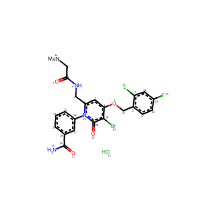 CNCC(=O)NCc1cc(OCc2ccc(F)cc2F)c(Br)c(=O)n1-c1cccc(C(N)=O)c1.Cl